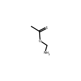 CC(=S)OCN